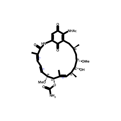 CO[C@H]1C[C@H](C)CC2=C(NC(C)=O)C(=O)C=C(NC(=O)/C(C)=C\C=C\[C@@H](OC)[C@@H](OC(N)=O)/C(C)=C/[C@H](C)[C@H]1O)C2=O